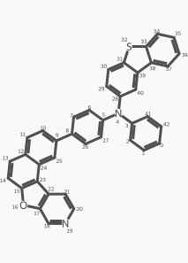 c1ccc(N(c2ccc(-c3ccc4ccc5oc6cnccc6c5c4c3)cc2)c2ccc3sc4ccccc4c3c2)cc1